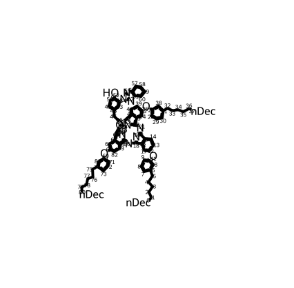 CCCCCCCCCCCCCCCc1cccc(Oc2ccc3c(c2)C2=NC/3=N\c3c4cc(Oc5cccc(CCCCCCCCCCCCCCC)c5)ccc4c4n3B(OCCc3ccc(O)c(-n5nc6ccccc6n5)c3)n3c(c5cc(Oc6cccc(CCCCCCCCCCCCCCC)c6)ccc5/c3=N/2)=N4)c1